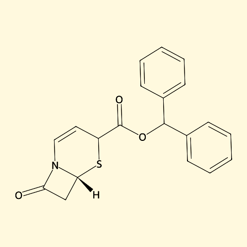 O=C(OC(c1ccccc1)c1ccccc1)C1C=CN2C(=O)C[C@H]2S1